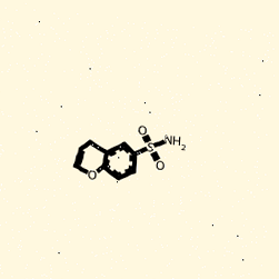 NS(=O)(=O)c1ccc2c(c1)CC=CO2